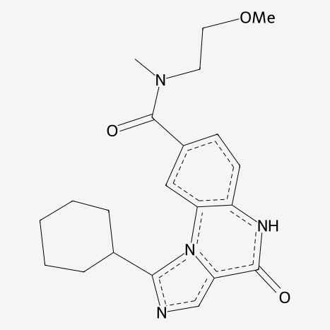 COCCN(C)C(=O)c1ccc2[nH]c(=O)c3cnc(C4CCCCC4)n3c2c1